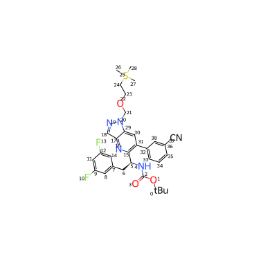 CC(C)(C)OC(=O)N[C@@H](Cc1cc(F)cc(F)c1)c1nc2cnn(COCCS(C)(C)C)c2cc1-c1cccc(C#N)c1